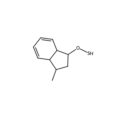 CC1CC(OS)C2C=CC=CC12